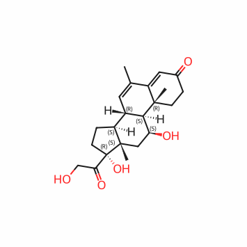 CC1=C[C@@H]2[C@H]([C@@H](O)C[C@@]3(C)[C@H]2CC[C@]3(O)C(=O)CO)[C@@]2(C)CCC(=O)C=C12